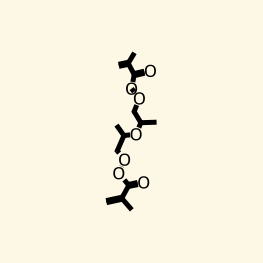 C=C(C)C(=O)OOCC(C)OC(C)COOC(=O)C(=C)C